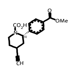 C#CC1CCN(C(=O)O)[C@H](c2ccc(C(=O)OC)cc2)C1